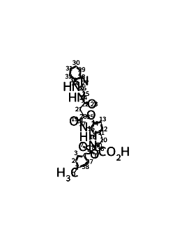 Cc1ccc(S(=O)(=O)N[C@@H](Cc2ccc3c(c2)NC(=O)C(CC(=O)NCc2nc4ccccc4[nH]2)O3)C(=O)O)cc1